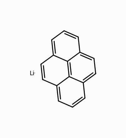 [Li].c1cc2ccc3cccc4ccc(c1)c2c34